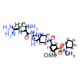 C=C(N)/C(=N\C(Cl)=C(N)N)C(=O)/N=C1\NCC2(CCN(C(=O)c3ccc(OC)c(S(=O)(=O)N(C)C4CCCCC4)c3)CC2)N1